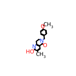 COc1ccc(CN2CCc3nc(O)c(C)cc3C2=O)cc1